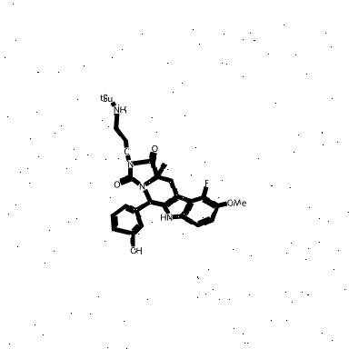 COc1ccc2[nH]c3c(c2c1F)CC1(C)C(=O)N(CCCNC(C)(C)C)C(=O)N1C3c1cccc(O)c1